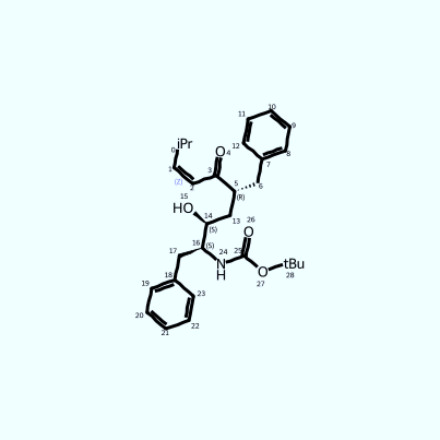 CC(C)/C=C\C(=O)[C@H](Cc1ccccc1)C[C@H](O)[C@H](Cc1ccccc1)NC(=O)OC(C)(C)C